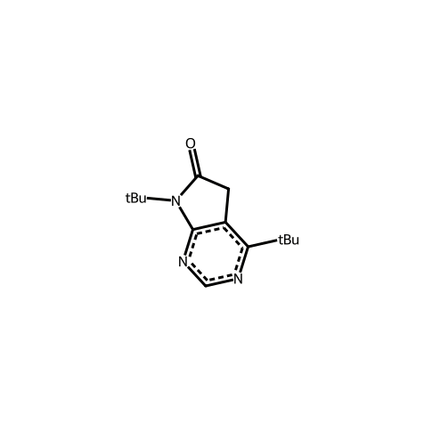 CC(C)(C)c1ncnc2c1CC(=O)N2C(C)(C)C